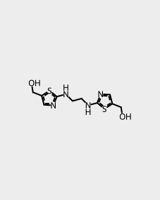 OCc1cnc(NCCNc2ncc(CO)s2)s1